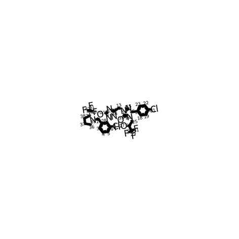 O=C(c1cccc(Cl)c1-n1cnc(Cn2nc(-c3ccc(Cl)cc3)n(C[C@H](O)C(F)(F)F)c2=O)n1)N1CCC[C@@H]1C(F)(F)F